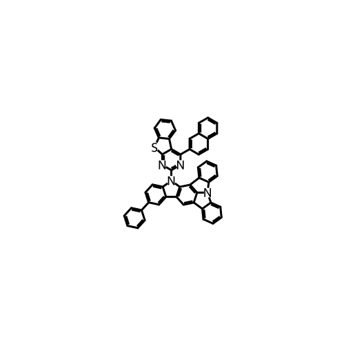 c1ccc(-c2ccc3c(c2)c2cc4c5ccccc5n5c6ccccc6c(c2n3-c2nc(-c3ccc6ccccc6c3)c3c(n2)sc2ccccc23)c45)cc1